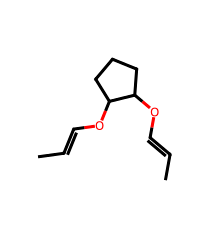 CC=COC1CCCC1OC=CC